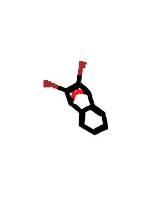 BrC1=C(Br)C2OC1c1ccccc12